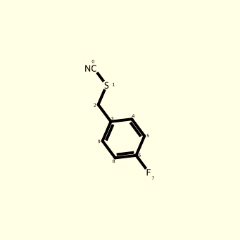 N#CSCc1ccc(F)cc1